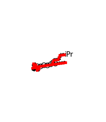 C=CCCCCCCCOCC(COCCOCCOCCOCCOC(c1ccccc1)(c1ccccc1)c1ccccc1)OCCC(C)CCC[C@H](C)CCC[C@H](C)CCCC(C)C